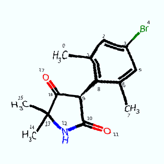 Cc1cc(Br)cc(C)c1[C@H]1C(=O)NC(C)(C)C1=O